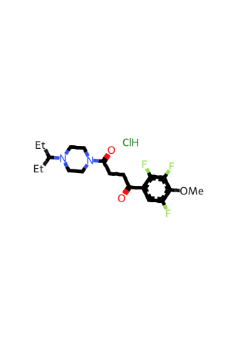 CCC(CC)N1CCN(C(=O)CCC(=O)c2cc(F)c(OC)c(F)c2F)CC1.Cl